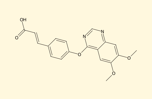 COc1cc2ncnc(Oc3ccc(C=CC(=O)O)cc3)c2cc1OC